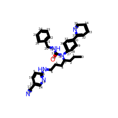 CCCC(CCCNc1ccc(C#N)cn1)N(C(=O)NCc1ccccc1)c1ccc(-c2ccccn2)cc1